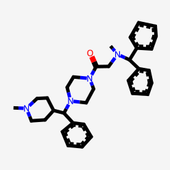 CN1CCC(C(c2ccccc2)N2CCN(C(=O)CN(C)C(c3ccccc3)c3ccccc3)CC2)CC1